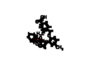 COC(=O)C1C2CCC1CN(c1nc(-c3cc(C)ccc3OCc3ccc(C(=O)O)cc3C)cs1)C2